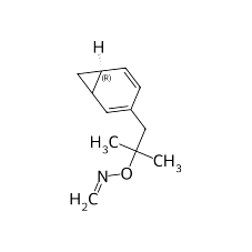 C=NOC(C)(C)CC1=CC2C[C@H]2C=C1